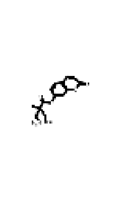 CC(C)(C)CC(C)(CN)C(=O)Oc1ccc2ccc(=O)oc2c1